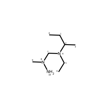 CCC(C)N(CC)CN(C)N